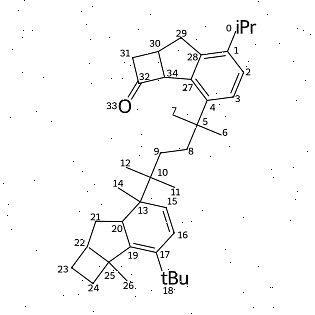 CC(C)c1ccc(C(C)(C)CCC(C)(C)C2(C)C=CC(C(C)(C)C)=C3C2CC2CCC32C)c2c1CC1CC(=O)C21